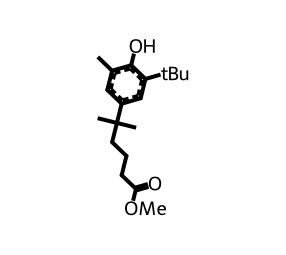 COC(=O)CCCC(C)(C)c1cc(C)c(O)c(C(C)(C)C)c1